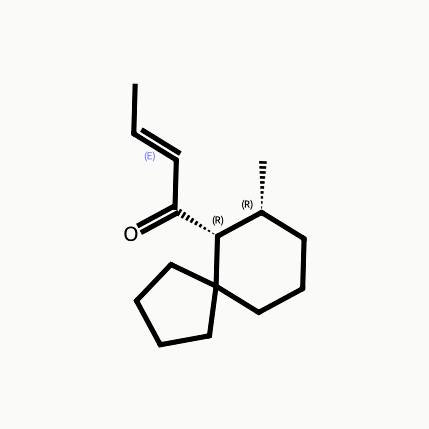 C/C=C/C(=O)[C@@H]1[C@H](C)CCCC12CCCC2